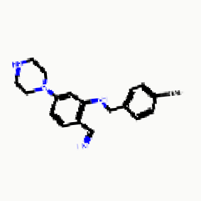 COc1ccc(CNc2cc(N3CCNCC3)ccc2C=N)cc1